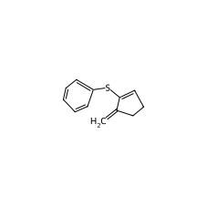 C=C1CCC=C1Sc1ccccc1